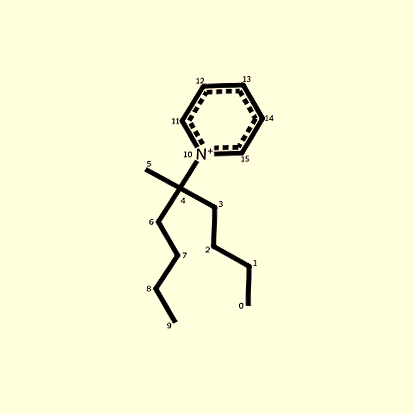 CCCCC(C)(CCCC)[n+]1ccccc1